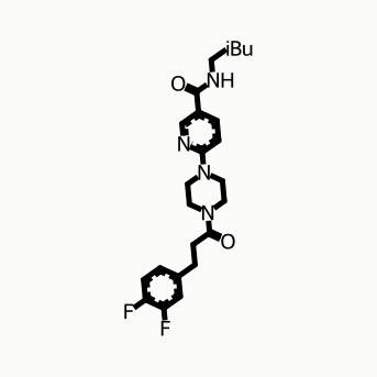 CCC(C)CNC(=O)c1ccc(N2CCN(C(=O)CCc3ccc(F)c(F)c3)CC2)nc1